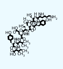 CC[C@H](C)[C@H](NC(=O)[C@H](Cc1ccc(O)cc1)NC(=O)[C@@H](NC(=O)[C@@H](CCC(=O)O)NC(=O)[C@H](CS)NC(=O)[C@H](CC(C)C)NC(=O)[C@H](Cc1ccc(O)cc1)NC(=O)[C@H](CS)NC(=O)[C@@H](N)CCCCN)C(C)C)C(=O)O